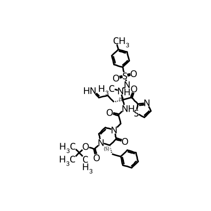 Cc1ccc(S(=O)(=O)NN(C)[C@](CCC=N)(NC(=O)CN2C=CN(C(=O)OC(C)(C)C)[C@@H](Cc3ccccc3)C2=O)C(=O)c2nccs2)cc1